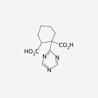 O=C(O)C1CCCCC1(C(=O)O)c1ncncn1